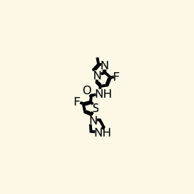 Cc1cn2cc(NC(=O)c3sc(N4CCNCC4)cc3F)cc(F)c2n1